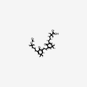 CC1(C)C=C(CCCC(C)(C)OC=O)C(=O)C(CCC2=CC(C)(C)C=C(CCCC(C)(C)C(=O)O)C2=O)=C1